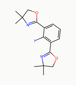 CC1(C)COC(c2cccc(C3=NC(C)(C)CO3)c2I)=N1